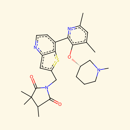 Cc1cc(C)c(O[C@H]2CCCN(C)C2)c(-c2ccnc3cc(CN4C(=O)C(C)C(C)(C)C4=O)sc23)n1